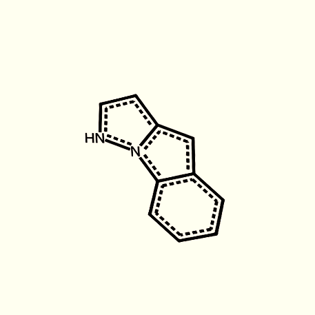 c1ccc2c(c1)cc1cc[nH]n12